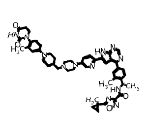 Cc1cc(-c2ncnc3[nH]c(-c4ccc(N5CCN(CC6CCN(c7ccc(N8CCC(=O)NC8=O)c(C)c7)CC6)CC5)cn4)cc23)ccc1[C@@H](C)NC(=O)c1noc(C2(C)CC2)n1